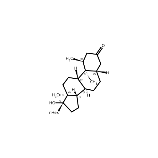 CCCCCC[C@]1(O)CC[C@H]2[C@@H]3CC[C@H]4CC(=O)C[C@H](C)[C@]4(C)[C@H]3CC[C@@]21C